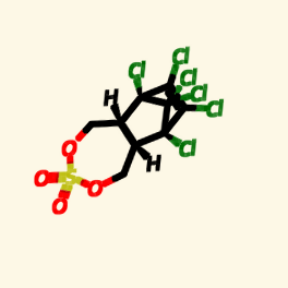 O=S1(=O)OC[C@@H]2[C@H](CO1)[C@]1(Cl)C(Cl)=C(Cl)[C@@]2(Cl)C1(Cl)Cl